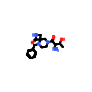 CC(O)C(N)C(=O)N1CCN(Cc2ccccc2)C2(CNC2=O)C1